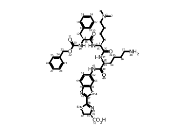 CN(C)CCCC[C@H](NC(=O)[C@H](Cc1ccccc1)NC(=O)OCc1ccccc1)C(=O)N[C@@H](CCCCN)C(=O)Nc1ccc2nc(C3=N[C@@H](C(=O)O)CS3)sc2c1